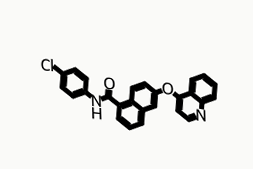 O=C(Nc1ccc(Cl)cc1)c1cccc2cc(Oc3ccnc4ccccc34)ccc12